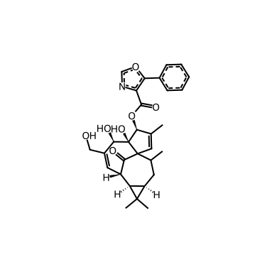 CC1=CC23C(=O)[C@@H](C=C(CO)[C@@H](O)[C@]2(O)[C@H]1OC(=O)c1ncoc1-c1ccccc1)[C@H]1[C@@H](CC3C)C1(C)C